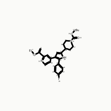 C=C(OCC)c1cc(-c2cc(C3CCN(C(=O)OC(C)(C)C)CC3)[nH]c2-c2ccc(F)cc2)ccn1